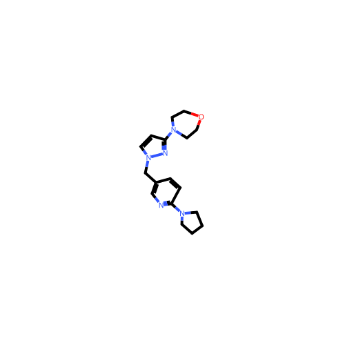 c1cc(N2CCCC2)ncc1Cn1ccc(N2CCOCC2)n1